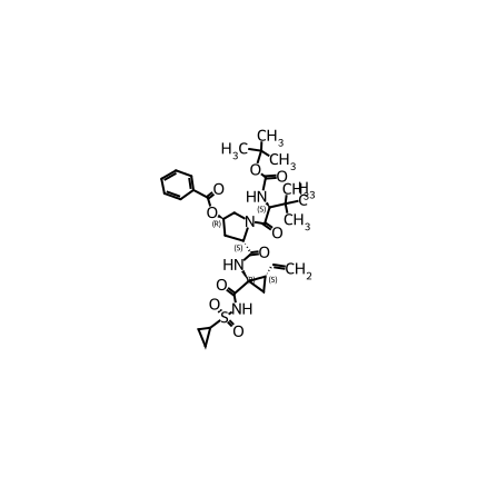 C=C[C@@H]1C[C@]1(NC(=O)[C@@H]1C[C@@H](OC(=O)c2ccccc2)CN1C(=O)[C@@H](NC(=O)OC(C)(C)C)C(C)(C)C)C(=O)NS(=O)(=O)C1CC1